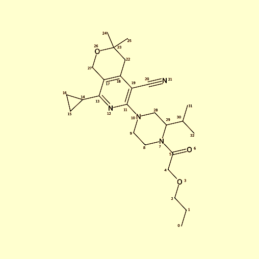 CCCOCC(=O)N1CCN(c2nc(C3CC3)c3c(c2C#N)CC(C)(C)OC3)CC1C(C)C